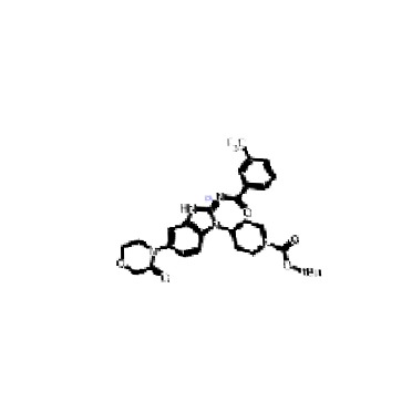 CC(C)(C)OC(=O)N1CCC(n2/c(=N\C(=O)c3cccc(C(F)(F)F)c3)[nH]c3cc(N4CCOCC4=O)ccc32)CC1